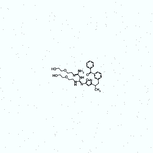 CC(Cc1cccc(C(=O)c2ccccc2)c1)c1cc(N=C(NCCOCCO)NC(N)=NCCOCCO)on1